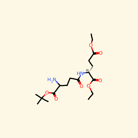 CCOC(=O)CC[C@@H](NC(=O)CCC(N)C(=O)OC(C)(C)C)C(=O)OCC